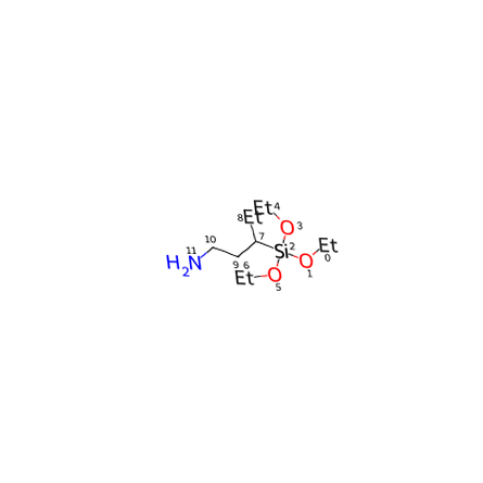 CCO[Si](OCC)(OCC)C(CC)CCN